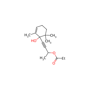 CCC(=O)OC(C)C#CC1(O)C(C)=CCCC1(C)C